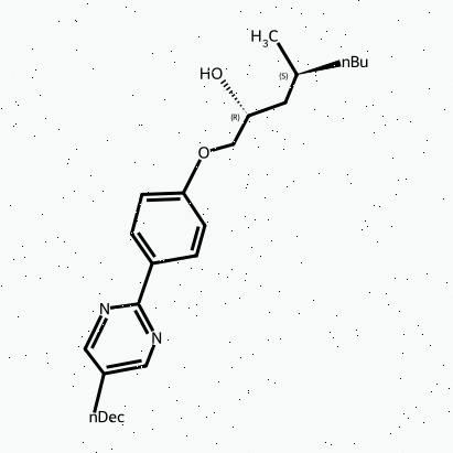 CCCCCCCCCCc1cnc(-c2ccc(OC[C@H](O)C[C@@H](C)CCCC)cc2)nc1